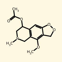 COc1c2c(cc3c1CN(C)CC3OC(C)=O)OOC2